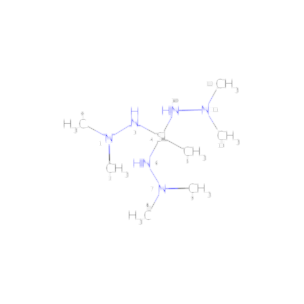 CN(C)N[Si](C)(NN(C)C)NN(C)C